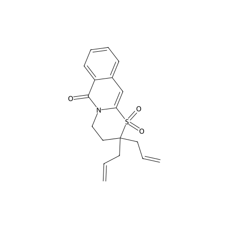 C=CCC1(CC=C)CCn2c(cc3ccccc3c2=O)S1(=O)=O